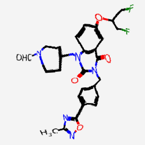 Cc1noc(-c2ccc(Cn3c(=O)c4cc(OC(CF)CF)ccc4n(C4CCN(C=O)CC4)c3=O)cc2)n1